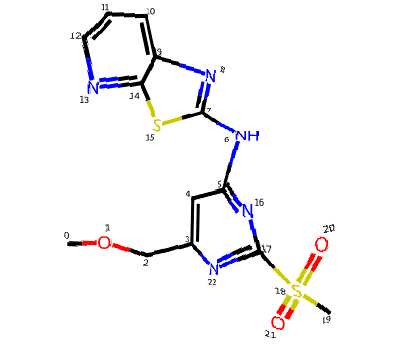 COCc1cc(Nc2nc3cccnc3s2)nc(S(C)(=O)=O)n1